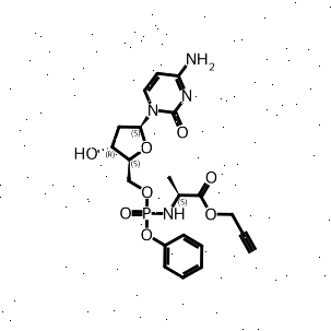 C#CCOC(=O)[C@H](C)NP(=O)(OC[C@@H]1O[C@H](n2ccc(N)nc2=O)C[C@H]1O)Oc1ccccc1